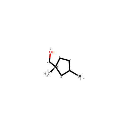 BC1CC[C@@](C)(CO)C1